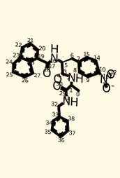 CC(NC(=O)[C@H](Cc1ccc([N+](=O)[O-])cc1)NC(=O)c1cccc2ccccc12)C(=O)NCc1ccccc1